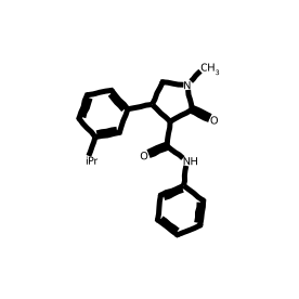 CC(C)c1cccc(C2CN(C)C(=O)C2C(=O)Nc2ccccc2)c1